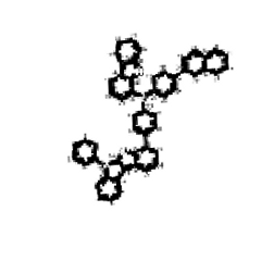 c1ccc(-n2c3ccccc3c3c4cccc(-c5ccc(N(c6ccc(-c7ccc8ccccc8c7)cc6)c6cccc7c6oc6ccccc67)cc5)c4oc32)cc1